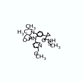 COCc1ccc(Nc2cc(C3(C(=O)NSC)CC3)ccc2N(CC(C)C)C2CCOCC2)cn1